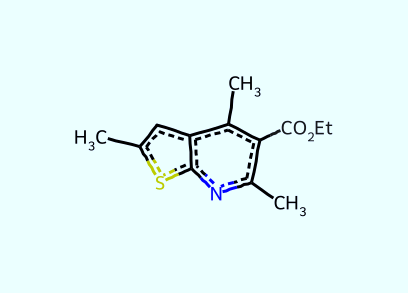 CCOC(=O)c1c(C)nc2sc(C)cc2c1C